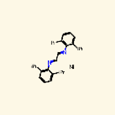 CC(C)c1cccc(C(C)C)c1N=CC=Nc1c(C(C)C)cccc1C(C)C.[Ni]